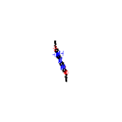 CCCCCCCOc1ccc(/N=N/c2ccc(/N=N/c3ccc(NNc4ccc(OCCCCCC)cc4)c(C)c3)cc2)c(I)c1